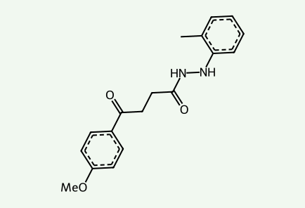 COc1ccc(C(=O)CCC(=O)NNc2ccccc2C)cc1